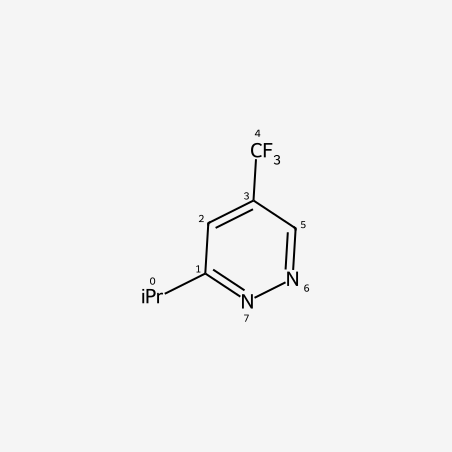 CC(C)c1cc(C(F)(F)F)cnn1